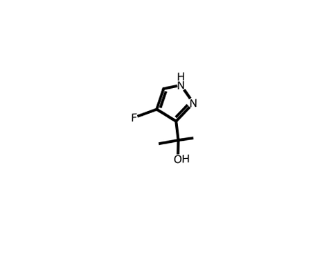 CC(C)(O)c1n[nH]cc1F